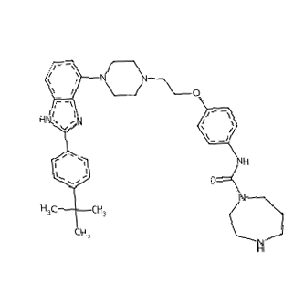 CC(C)(C)c1ccc(-c2nc3c(N4CCN(CCOc5ccc(NC(=O)N6CCCNCC6)cc5)CC4)cccc3[nH]2)cc1